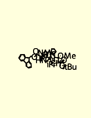 CN[C@@](C(=O)N[C@H](C(=O)N(C)[C@@H](C1CCCC1)[C@@H](CC(=O)OC(C)(C)C)OC)C(C)C)(C(=O)OCC1c2ccccc2-c2ccccc21)C(C)C